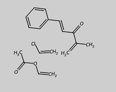 C=C(C)C(=O)C=Cc1ccccc1.C=CCl.C=COC(C)=O